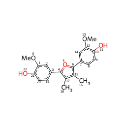 COc1cc(-c2oc(-c3ccc(O)c(OC)c3)c(C)c2C)ccc1O